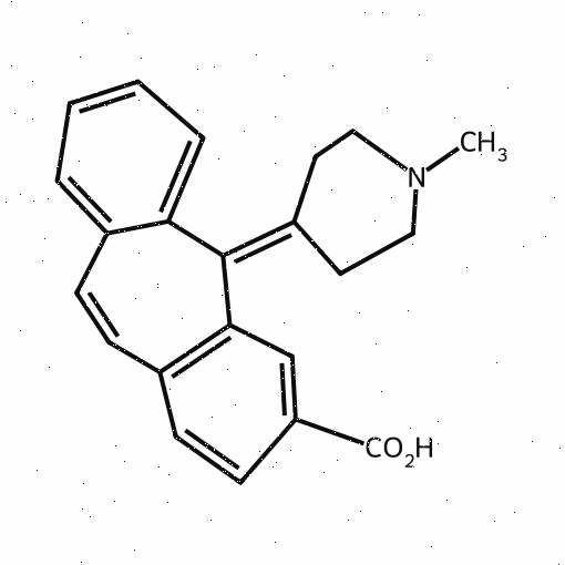 CN1CCC(=C2c3ccccc3C=Cc3ccc(C(=O)O)cc32)CC1